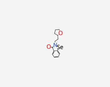 O=c1c2ccccc2[se]n1CCC1CCCO1